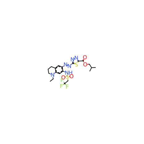 CCN1CCCc2cc(N=Nc3nnc(C(=O)OCC(C)C)s3)c(NS(=O)(=O)CC(F)(F)F)cc21